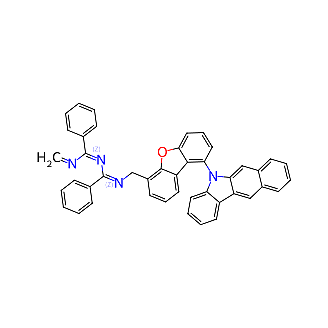 C=N/C(=N\C(=N/Cc1cccc2c1oc1cccc(-n3c4ccccc4c4cc5ccccc5cc43)c12)c1ccccc1)c1ccccc1